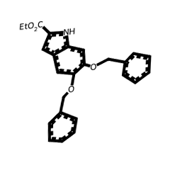 CCOC(=O)c1cc2cc(OCc3ccccc3)c(OCc3ccccc3)cc2[nH]1